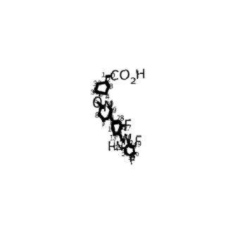 O=C(O)C[C@H]1CC[C@@H](Oc2ccc(-c3ccc(-c4nc5c(F)cc(F)cc5[nH]4)c(F)c3)cn2)CC1